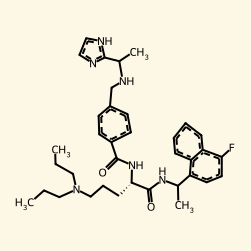 CCCN(CCC)CCC[C@H](NC(=O)c1ccc(CNC(C)c2ncc[nH]2)cc1)C(=O)NC(C)c1ccc(F)c2ccccc12